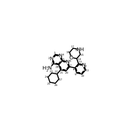 Nc1ncnc2nc(-c3cccnc3C3CNCCO3)cc(C3CCCCC3)c12